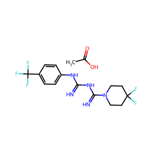 CC(=O)O.N=C(NC(=N)N1CCC(F)(F)CC1)Nc1ccc(C(F)(F)F)cc1